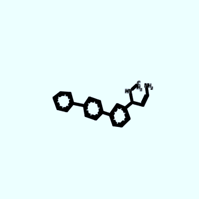 CNC(/C=C\N)c1cccc(-c2ccc(-c3ccccc3)cc2)c1